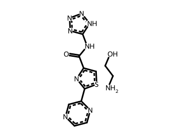 NCCO.O=C(Nc1nnn[nH]1)c1csc(-c2cnccn2)n1